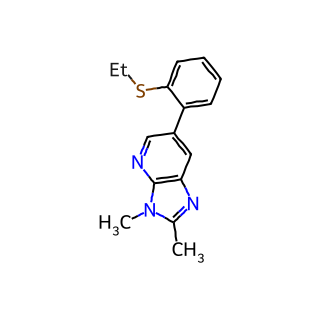 CCSc1ccccc1-c1cnc2c(c1)nc(C)n2C